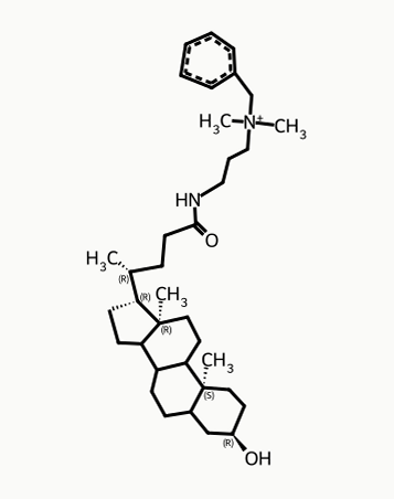 C[C@H](CCC(=O)NCCC[N+](C)(C)Cc1ccccc1)[C@H]1CCC2C3CCC4C[C@H](O)CC[C@]4(C)C3CC[C@@]21C